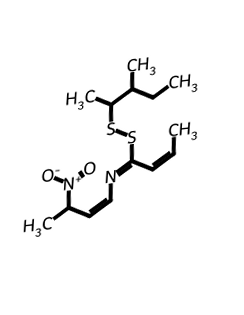 C\C=C/C(=N\C=C/C(C)[N+](=O)[O-])SSC(C)C(C)CC